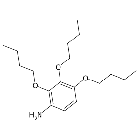 CCCCOc1ccc(N)c(OCCCC)c1OCCCC